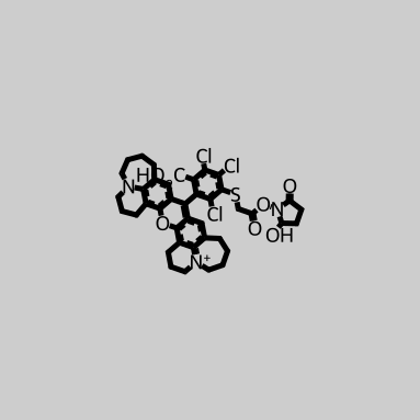 O=C(CSc1c(Cl)c(Cl)c(C(=O)O)c(C2=c3cc4c5c(c3Oc3c2cc2c6c3CCCN6CCCC2)CCC[N+]=5CCCC4)c1Cl)ON1C(=O)CCC1O